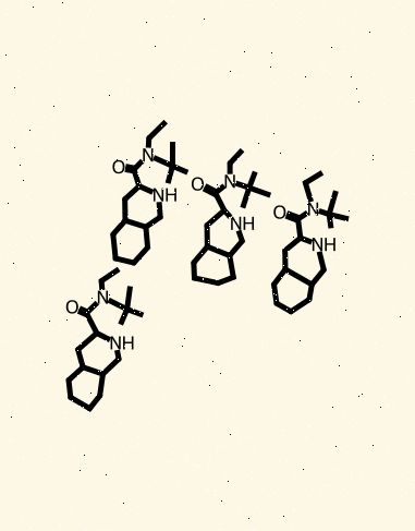 CCN(C(=O)C1CC2CCCCC2CN1)C(C)(C)C.CCN(C(=O)C1CC2CCCCC2CN1)C(C)(C)C.CCN(C(=O)C1CC2CCCCC2CN1)C(C)(C)C.CCN(C(=O)C1CC2CCCCC2CN1)C(C)(C)C